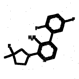 CC1(F)CCN(c2nccc(-c3cc(F)ccc3F)c2N)C1